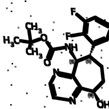 CC(C)(C)OC(=O)N[C@@H]1c2nccnc2[C@H](O)CC[C@H]1c1cccc(F)c1F